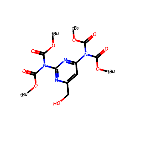 CC(C)(C)OC(=O)N(C(=O)OC(C)(C)C)c1cc(CO)nc(N(C(=O)OC(C)(C)C)C(=O)OC(C)(C)C)n1